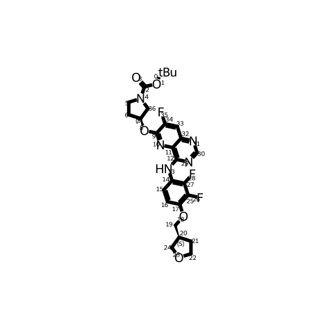 CC(C)(C)OC(=O)N1CC[C@H](Oc2nc3c(Nc4ccc(OC[C@H]5CCOC5)c(F)c4F)ncnc3cc2F)C1